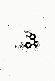 CCc1onc(-c2ccc(OC)c(F)c2)c1-c1ccc(S(N)(=O)=O)cc1